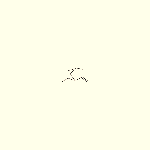 C=C1CC2C[C]1C(C)C2